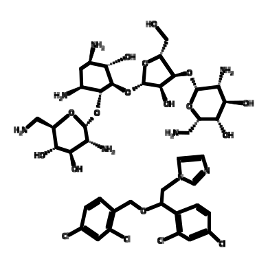 Clc1ccc(COC(Cn2ccnc2)c2ccc(Cl)cc2Cl)c(Cl)c1.NC[C@@H]1O[C@H](O[C@H]2[C@@H](O)[C@H](O[C@@H]3[C@@H](O)[C@H](N)C[C@H](N)[C@H]3O[C@H]3O[C@H](CN)[C@@H](O)[C@H](O)[C@H]3N)O[C@@H]2CO)[C@H](N)[C@@H](O)[C@@H]1O